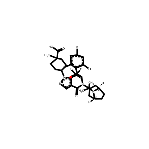 CC(C)N1[C@@H]2CC[C@@H]1CC(N(CC(=O)c1c(Cl)cc(F)cc1Cl)C(=O)c1cnn(C3CCC(C)(C(=O)O)CC3)c1C(F)(F)F)C2